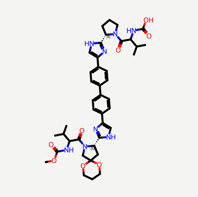 COC(=O)NC(C(=O)N1CC2(C[C@H]1c1nc(-c3ccc(-c4ccc(-c5c[nH]c([C@@H]6CCCN6C(=O)C(NC(=O)O)C(C)C)n5)cc4)cc3)c[nH]1)OCCCO2)C(C)C